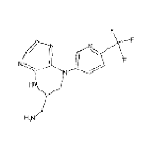 NCC1CN(c2ccc(C(F)(F)F)nc2)c2nccnc2N1